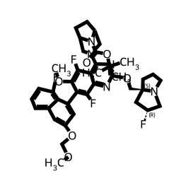 COCOc1cc(-c2c(OC)c(F)c3c(N4CC5CCC(C4)N5C(=O)OC(C)(C)C)nc(OC[C@@]45CCCN4C[C@H](F)C5)nc3c2F)c2c(F)cccc2c1